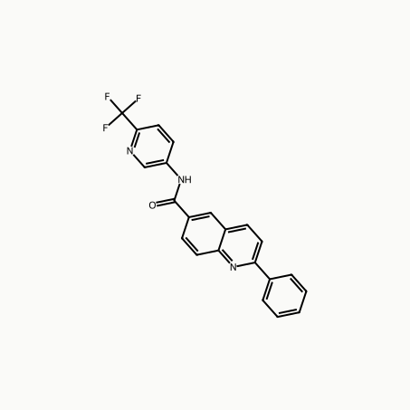 O=C(Nc1ccc(C(F)(F)F)nc1)c1ccc2nc(-c3ccccc3)ccc2c1